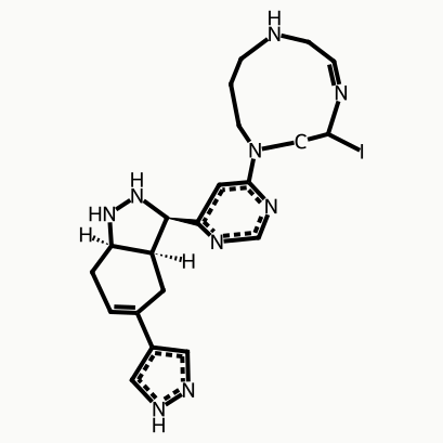 IC1CN(c2cc([C@@H]3NN[C@@H]4CC=C(c5cn[nH]c5)C[C@@H]43)ncn2)CCCNC/C=N\1